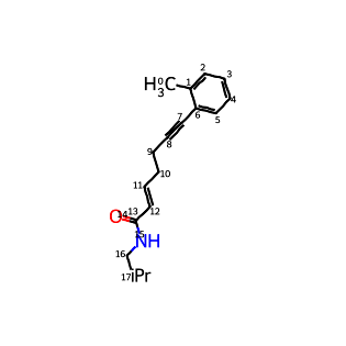 Cc1ccccc1C#CCC/C=C/C(=O)NCC(C)C